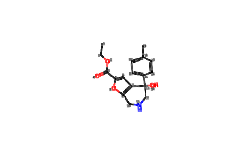 CCOC(=O)c1cc2c(o1)CNCC2(O)c1ccc(C)cc1